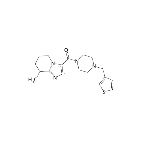 CC1CCCn2c(C(=O)N3CCN(Cc4ccsc4)CC3)[c]nc21